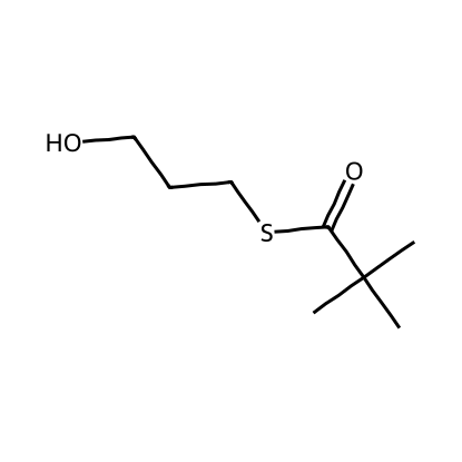 CC(C)(C)C(=O)SCCCO